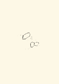 O=S(=O)(Nc1cc(Cl)cc2cnccc12)c1ccc(Cl)cc1